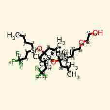 CCCC[Si](C)(CCC(F)(F)F)OC(CC)(CCC)[Si](C)(CCC(F)(F)F)OC(C)(CCC)[Si](C)(C)CCCOCCO